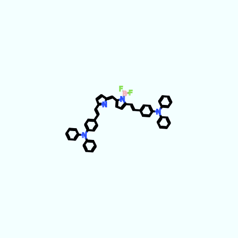 FB(F)n1c(/C=C2/C=CC(/C=C/c3ccc(N(c4ccccc4)c4ccccc4)cc3)=N2)ccc1/C=C/c1ccc(N(c2ccccc2)c2ccccc2)cc1